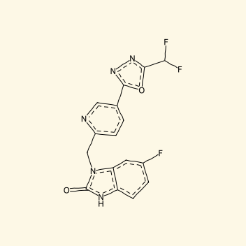 O=c1[nH]c2ccc(F)cc2n1Cc1ccc(-c2nnc(C(F)F)o2)cn1